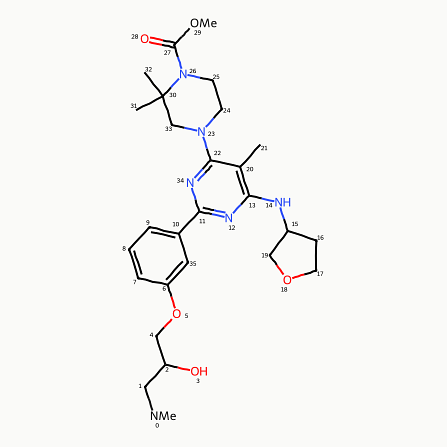 CNCC(O)COc1cccc(-c2nc(NC3CCOC3)c(C)c(N3CCN(C(=O)OC)C(C)(C)C3)n2)c1